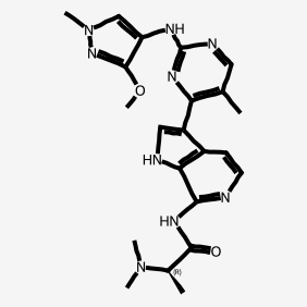 COc1nn(C)cc1Nc1ncc(C)c(-c2c[nH]c3c(NC(=O)[C@@H](C)N(C)C)nccc23)n1